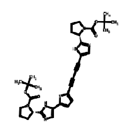 CC(C)(C)OC(=O)N1CCC[C@H]1c1ncc(C#CC#Cc2ccc(-c3cnc([C@@H]4CCCN4C(=O)OC(C)(C)C)[nH]3)s2)[nH]1